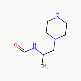 CC(CN1CCNCC1)N[C]=O